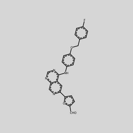 O=Cc1ccc(-c2cc3c(Nc4ccc(OCc5ccc(F)cc5)cc4)ncnc3cn2)o1